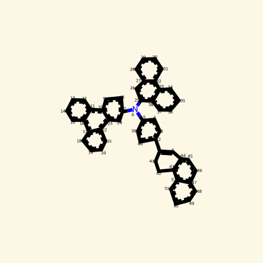 C1=C(c2ccc(N(c3ccc4c5ccccc5c5ccccc5c4c3)c3cc4ccccc4c4ccccc34)cc2)CCc2c1ccc1ccccc21